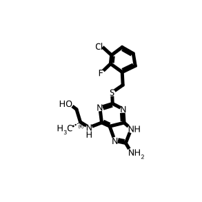 C[C@H](CO)Nc1nc(SCc2cccc(Cl)c2F)nc2[nH]c(N)nc12